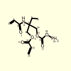 C=CC(=O)NC(CC)(COC(=O)C=C)COC(=O)OP